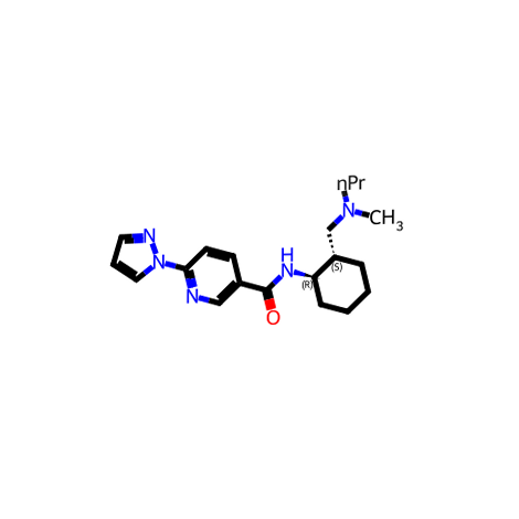 CCCN(C)C[C@@H]1CCCC[C@H]1NC(=O)c1ccc(-n2cccn2)nc1